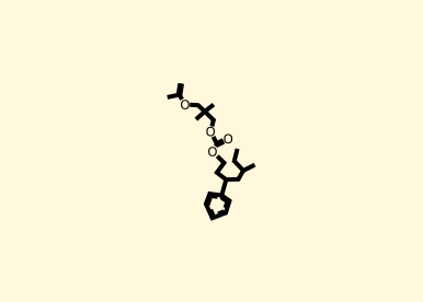 C=C(C)OCC(C)(C)COC(=O)OCCC(CC(C)CC)c1ccccc1